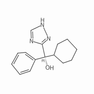 O[C@](c1ccccc1)(c1nc[nH]n1)C1CCCCC1